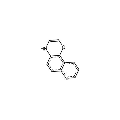 C1=COc2c(ccc3ncccc23)N1